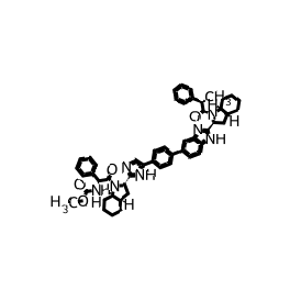 COC(=O)N[C@@H](C(=O)N1[C@@H]2CCCC[C@@H]2C[C@H]1c1ncc(-c2ccc(-c3ccc4[nH]c([C@@H]5C[C@H]6CCCC[C@H]6N5C(=O)[C@H](C)c5ccccc5)nc4c3)cc2)[nH]1)c1ccccc1